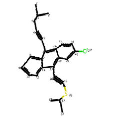 CC(C)CC#Cc1c2ccccc2c(C#CSC(C)C)c2cc(Cl)ccc12